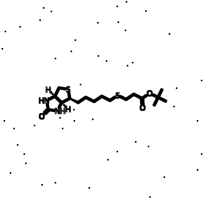 CC(C)(C)OC(=O)CCSCCCCC[C@@H]1SC[C@@H]2NC(=O)N[C@@H]21